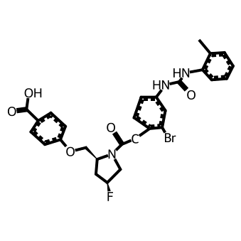 Cc1ccccc1NC(=O)Nc1ccc(CC(=O)N2C[C@@H](F)C[C@H]2COc2ccc(C(=O)O)cc2)c(Br)c1